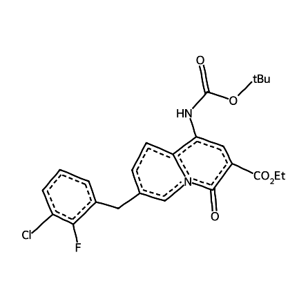 CCOC(=O)c1cc(NC(=O)OC(C)(C)C)c2ccc(Cc3cccc(Cl)c3F)cn2c1=O